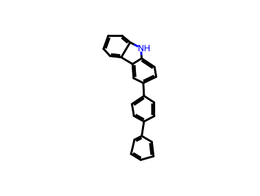 c1ccc(-c2ccc(-c3ccc4[nH]c5ccccc5c4c3)cc2)cc1